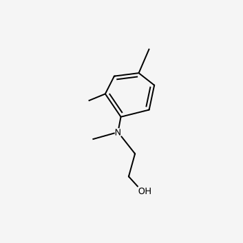 Cc1ccc(N(C)CCO)c(C)c1